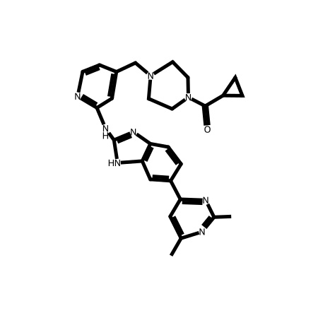 Cc1cc(-c2ccc3nc(Nc4cc(CN5CCN(C(=O)C6CC6)CC5)ccn4)[nH]c3c2)nc(C)n1